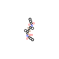 O=C1/C(=N/c2cc3c(s2)-c2sc4c5c(sc4c2C32CCCCC2)C=C(N=c2c(=O)c3cc4ccccc4cc3c2=O)C52CCCCC2)C(O)c2cc3ccccc3cc21